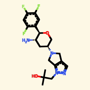 CC(C)(O)Cn1ncc2c1CN([C@H]1CO[C@H](c3cc(F)c(F)cc3F)[C@@H](N)C1)C2